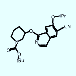 CC(C)Oc1cc2c(OC3CCCN(C(=O)OC(C)(C)C)C3)nccc2cc1C#N